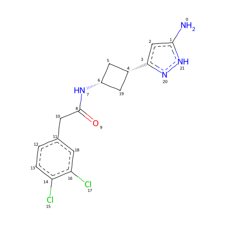 Nc1cc([C@H]2C[C@@H](NC(=O)Cc3ccc(Cl)c(Cl)c3)C2)n[nH]1